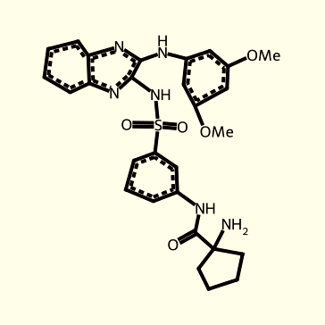 COc1cc(Nc2nc3ccccc3nc2NS(=O)(=O)c2cccc(NC(=O)C3(N)CCCC3)c2)cc(OC)c1